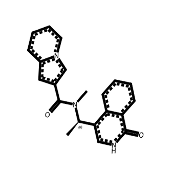 C[C@H](c1c[nH]c(=O)c2ccccc12)N(C)C(=O)c1cc2ccccn2c1